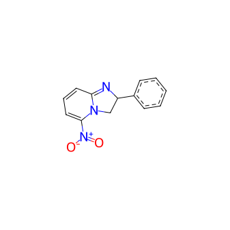 O=[N+]([O-])C1=CC=CC2=NC(c3ccccc3)CN12